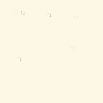 COc1nc(N)c2cnc3ccccc3c2c1OC